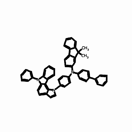 CC1(C)c2ccccc2-c2ccc(N(c3ccc(-c4ccccc4)cc3)c3ccc(-n4ccc5ccc6c(c7ccccc7n6-c6ccccc6)c54)cc3)cc21